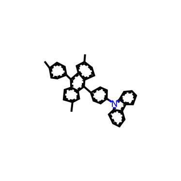 Cc1ccc(-c2c3ccc(C)cc3c(-c3ccc(-n4c5ccccc5c5ccccc54)cc3)c3ccc(C)cc23)cc1